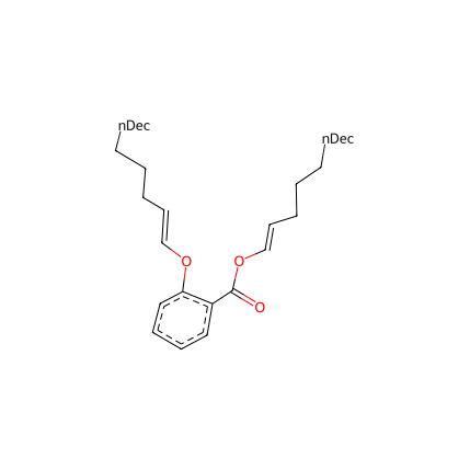 CCCCCCCCCCCCCC=COC(=O)c1ccccc1OC=CCCCCCCCCCCCCC